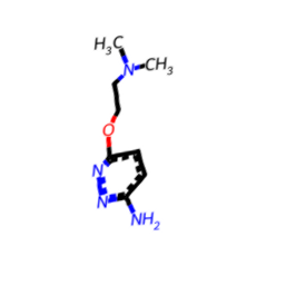 CN(C)CCOc1ccc(N)nn1